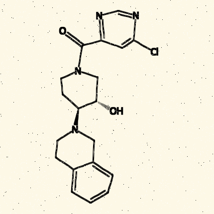 O=C(c1cc(Cl)ncn1)N1CC[C@H](N2CCc3ccccc3C2)[C@@H](O)C1